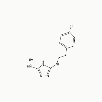 CC(C)Nc1nnc(NCCc2ccc(Cl)cc2)[nH]1